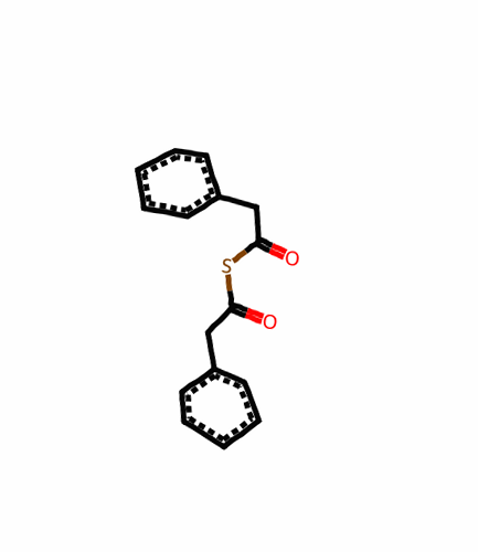 O=C(Cc1ccccc1)SC(=O)Cc1ccccc1